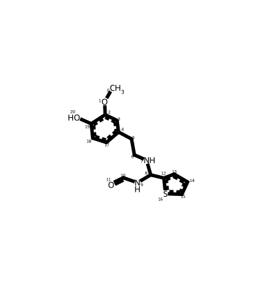 COc1cc(CCNC(NC=O)c2cccs2)ccc1O